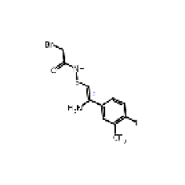 N/C(=C\SNC(=O)CBr)c1ccc(F)c(C(F)(F)F)c1